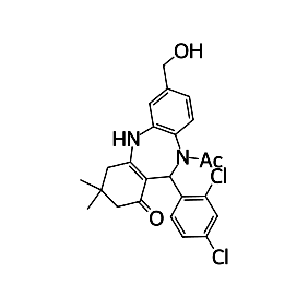 CC(=O)N1c2ccc(CO)cc2NC2=C(C(=O)CC(C)(C)C2)C1c1ccc(Cl)cc1Cl